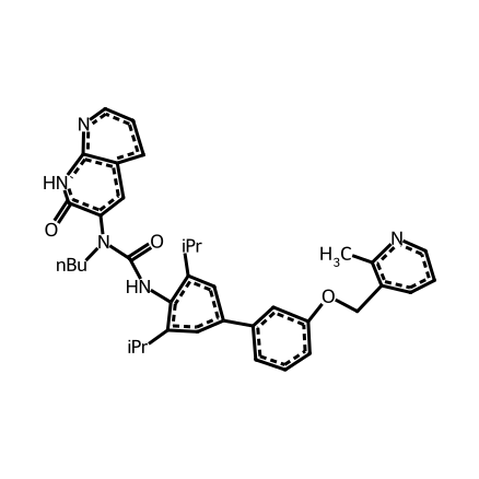 CCCCN(C(=O)Nc1c(C(C)C)cc(-c2cccc(OCc3cccnc3C)c2)cc1C(C)C)c1cc2cccnc2[nH]c1=O